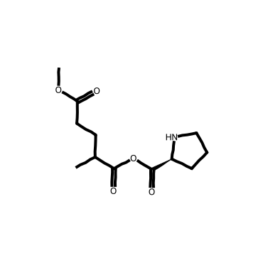 COC(=O)CCC(C)C(=O)OC(=O)[C@@H]1CCCN1